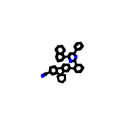 N#Cc1ccc2c(c1)C1(CCCCC1)c1cc(-c3ccccc3-c3nc(-c4ccccc4)cc(-c4cccc5ccccc45)n3)ccc1-2